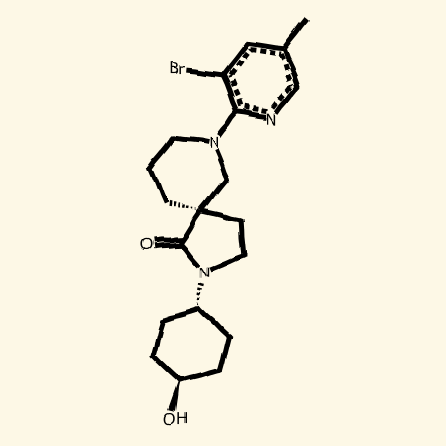 Cc1cnc(N2CCC[C@@]3(CCN([C@H]4CC[C@H](O)CC4)C3=O)C2)c(Br)c1